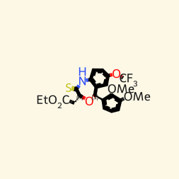 CCOC(=O)C[C@H]1O[C@H](c2cccc(OC)c2OC)c2cc(OC(F)(F)F)ccc2NC1=S